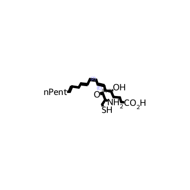 CCCCCC=CCC=C/C=C\C=C\[C@@H](C(=O)C(N)CS)[C@@H](O)CCCC(=O)O